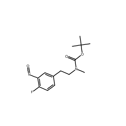 CN(CCc1ccc(F)c(N=O)c1)C(=O)OC(C)(C)C